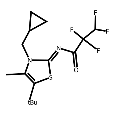 Cc1c(C(C)(C)C)s/c(=N\C(=O)C(F)(F)C(F)F)n1CC1CC1